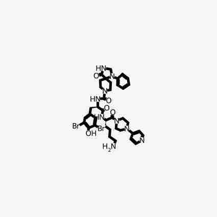 NCCCC[C@H](NC(=O)[C@@H](Cc1cc(Br)c(O)c(Br)c1)NC(=O)N1CCC2(CC1)C(=O)NCN2c1ccccc1)C(=O)N1CCN(c2ccncc2)CC1